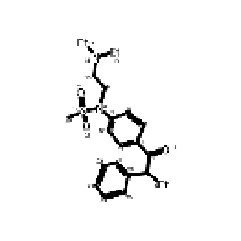 CCC(C(=O)c1ccc(N(CCN(CC)CC)S(C)(=O)=O)cc1)c1ccccc1